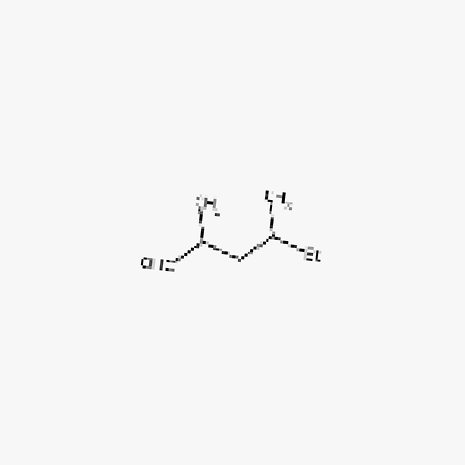 CCC(C)CC(C)[C]=O